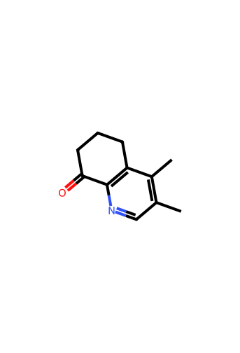 Cc1cnc2c(c1C)CCCC2=O